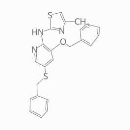 Cc1csc(Nc2ncc(SCc3ccccc3)cc2OCc2ccccc2)n1